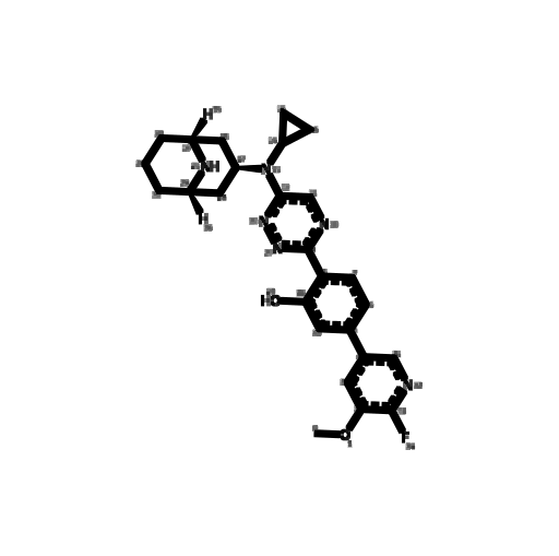 COc1cc(-c2ccc(-c3ncc(N(C4CC4)[C@@H]4C[C@H]5CCC[C@@H](C4)N5)nn3)c(O)c2)cnc1F